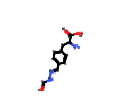 NC(Cc1ccc(/C=N/NC=O)cc1)C(=O)O